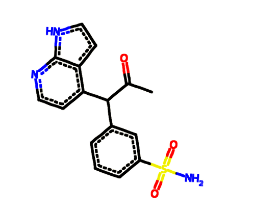 CC(=O)C(c1cccc(S(N)(=O)=O)c1)c1ccnc2[nH]ccc12